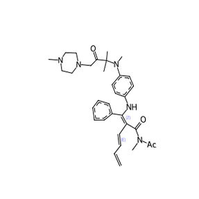 C=C/C=C/C(C(=O)N(C)C(C)=O)=C(/Nc1ccc(N(C)C(C)(C)C(=O)CN2CCN(C)CC2)cc1)c1ccccc1